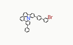 Brc1cccc(-c2ccc(-c3ccc4c5ccccc5n(-c5ccc(-c6ccccc6)cc5-c5ccccc5)c4c3)cc2)c1